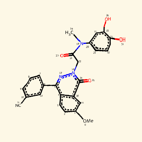 COc1ccc2c(-c3cccc(C#N)c3)nn(CC(=O)N(C)c3ccc(O)c(O)c3)c(=O)c2c1